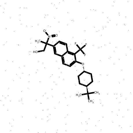 CC(CO)(c1ccc2c(C(F)(F)F)c(O[C@H]3CC[C@H](C(C)(C)C)CC3)ccc2c1)[N+](=O)[O-]